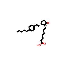 CCCCCc1ccc(C=C[C@@H]2CCC(=O)[C@H]2CCCCCCC(=O)O)cc1